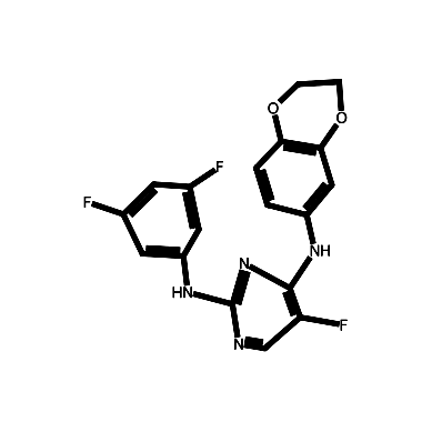 Fc1cc(F)cc(Nc2ncc(F)c(Nc3ccc4c(c3)OCCO4)n2)c1